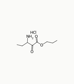 CCCOC(=O)C(=O)C(N)CC.Cl